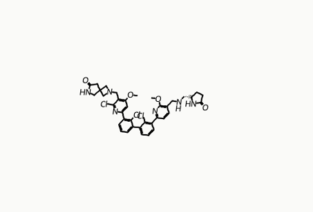 COc1cc(-c2cccc(-c3cccc(-c4ccc(CNC[C@@H]5CCC(=O)N5)c(OC)n4)c3Cl)c2Cl)nc(Cl)c1CN1CC2(CNC(=O)C2)C1